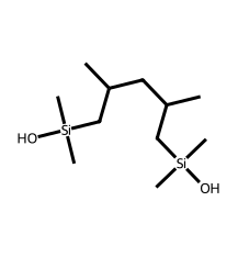 CC(CC(C)C[Si](C)(C)O)C[Si](C)(C)O